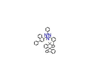 CC1(C)c2ccccc2C2(c3ccccc3-c3ccccc32)c2cccc(-c3cccc(-c4nc(-c5ccccc5)nc(-c5ccc(-c6ccccc6)c6ccccc56)n4)c3)c21